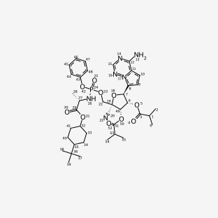 CC(C)C(=O)O[C@H]1[C@H](c2ccc3c(N)ncnn23)O[C@](C#N)(CO[P@@](=O)(N[C@@H](C)C(=O)OC2CCC(C(C)(C)C)CC2)Oc2ccccc2)[C@H]1OC(=O)C(C)C